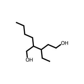 CCCCC(CO)C(CC)CCO